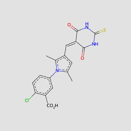 Cc1cc(C=C2C(=O)NC(=S)NC2=O)c(C)n1-c1ccc(Cl)c(C(=O)O)c1